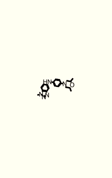 CC1CN(c2ccc(Nc3ccc4c(c3)nnn4C)cc2)CC(C)O1